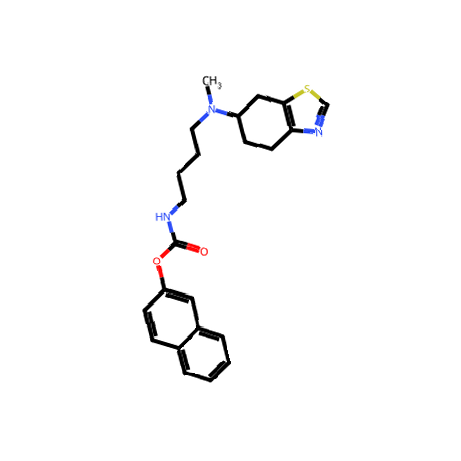 CN(CCCCNC(=O)Oc1ccc2ccccc2c1)C1CCc2ncsc2C1